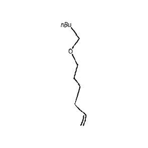 C=CCCCCOCCCCC